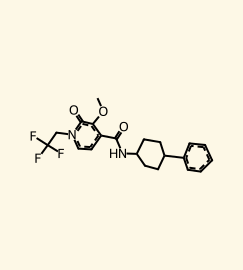 COc1c(C(=O)NC2CCC(c3ccccc3)CC2)ccn(CC(F)(F)F)c1=O